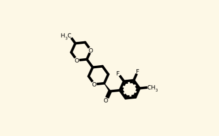 Cc1ccc(C(=O)[C@@H]2CCC(C3OCC(C)CO3)CO2)c(F)c1F